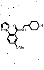 COc1ccc(-n2nccn2)c(C(=O)NCC2CCNCC2)c1